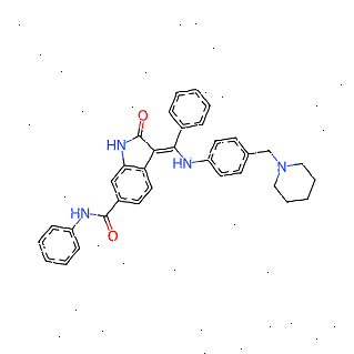 O=C1Nc2cc(C(=O)Nc3ccccc3)ccc2C1=C(Nc1ccc(CN2CCCCC2)cc1)c1ccccc1